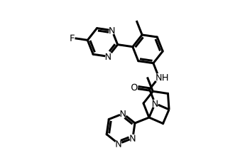 Cc1ccc(NC(=O)N2C3CC(C)CC2(c2nccnn2)C3)cc1-c1ncc(F)cn1